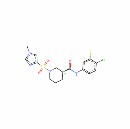 Cn1cnc(S(=O)(=O)N2CCC[C@H](C(=O)Nc3ccc(Cl)c(F)c3)C2)c1